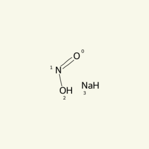 O=NO.[NaH]